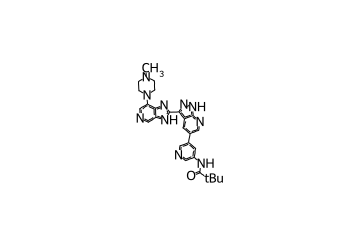 CN1CCN(c2cncc3[nH]c(-c4n[nH]c5ncc(-c6cncc(NC(=O)C(C)(C)C)c6)cc45)nc23)CC1